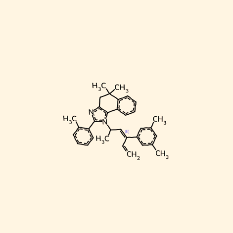 C=C/C(=C\C(C)n1c(-c2ccccc2C)nc2c1-c1ccccc1C(C)(C)C2)c1cc(C)cc(C)c1